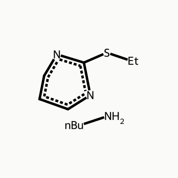 CCCCN.CCSc1ncccn1